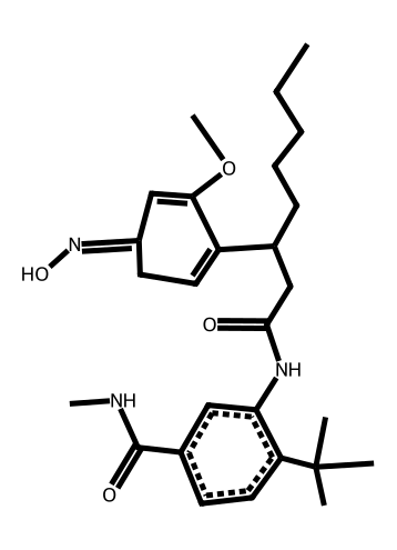 CCCCCC(CC(=O)Nc1cc(C(=O)NC)ccc1C(C)(C)C)C1=CCC(=NO)C=C1OC